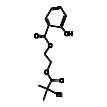 CCC(C)(C)C(=O)OCCOC(=O)c1ccccc1O